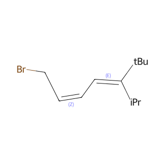 CC(C)/C(=C\C=C/CBr)C(C)(C)C